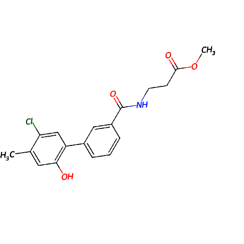 COC(=O)CCNC(=O)c1cccc(-c2cc(Cl)c(C)cc2O)c1